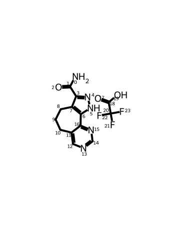 NC(=O)c1n[nH]c2c1CCCc1cncnc1-2.O=C(O)C(F)(F)F